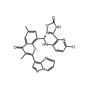 Cc1cc([C@@H](C)Nc2ccc(Cl)nc2-c2noc(=O)[nH]2)c2oc(-c3cnn4cccnc34)c(C)c(=O)c2c1